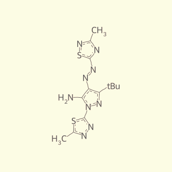 Cc1nsc(N=Nc2c(C(C)(C)C)nn(-c3nnc(C)s3)c2N)n1